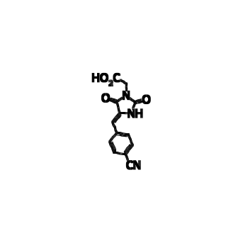 N#Cc1ccc(/C=C2\NC(=O)N(CC(=O)O)C2=O)cc1